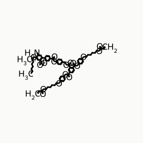 C=CC(=O)OCCCCCCOc1ccc(OC(=O)c2ccc(C(=O)Oc3ccc(OCCCCCCOC(=O)C=C)cc3)c(C(=O)OCc3ccc(OC(=O)c4ccc(-c5cc(N)c(O[C@@H](C)CCCCCC)cc5[N+](=O)[O-])cc4)cc3)c2)cc1